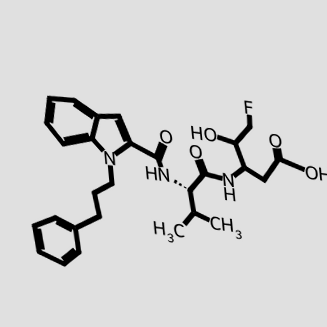 CC(C)[C@H](NC(=O)c1cc2ccccc2n1CCCc1ccccc1)C(=O)NC(CC(=O)O)C(O)CF